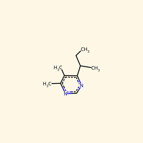 CCC(C)c1ncnc(C)c1C